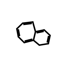 [C]1=CC=CC=C2CC=CC=C12